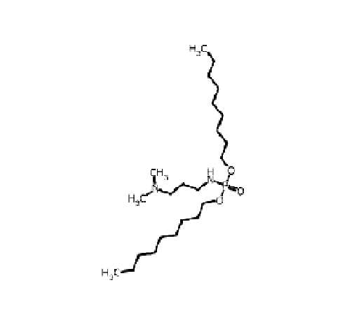 CCCCCCCCCOP(=O)(NCCCN(C)C)OCCCCCCCCC